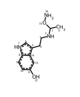 CC(NCCc1c[nH]c2ccc(O)cc12)ON